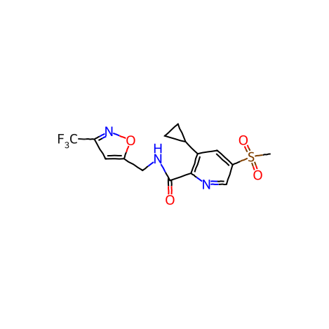 CS(=O)(=O)c1cnc(C(=O)NCc2cc(C(F)(F)F)no2)c(C2CC2)c1